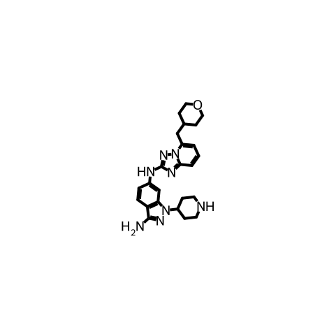 Nc1nn(C2CCNCC2)c2cc(Nc3nc4cccc(CC5CCOCC5)n4n3)ccc12